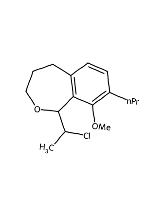 CCCc1ccc2c(c1OC)C(C(C)Cl)OCCC2